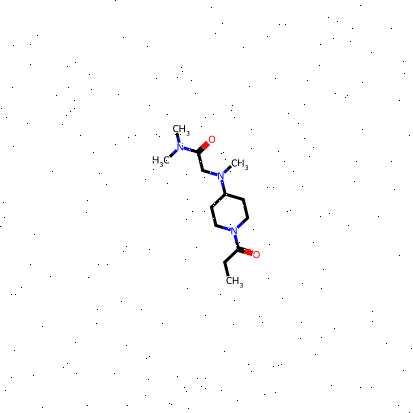 CCC(=O)N1CCC(N(C)CC(=O)N(C)C)CC1